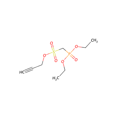 C#CCOS(=O)(=O)CP(=O)(OCC)OCC